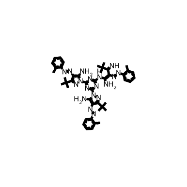 Cc1ccccc1/N=N/C(C(=N)C(C)(C)C)=C(\N)Nc1nc(-n2nc(C(C)(C)C)c(/N=N/c3ccccc3C)c2N)nc(-n2nc(C(C)(C)C)c(/N=N/c3ccccc3C)c2N)n1